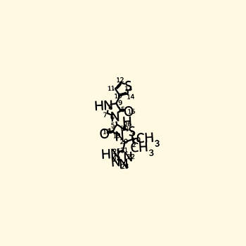 CC1(C)S[C@H]2C(N3CNC(c4ccsc4)C3=O)C(=O)N2C1c1nnn[nH]1